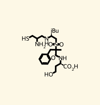 CC[C@H](C)C(CS(=O)(=O)C(C)(Cc1ccccc1)C(=O)N[C@H](CCO)C(=O)O)NCC(N)CS